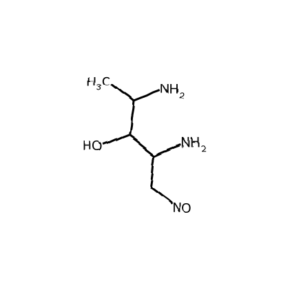 CC(N)C(O)C(N)CN=O